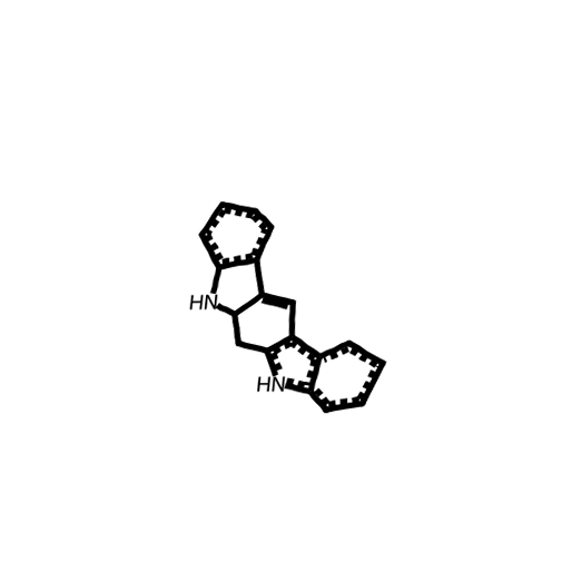 C1=C2c3ccccc3NC2Cc2[nH]c3ccccc3c21